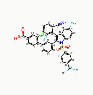 N#Cc1cccc(F)c1-c1c(-c2cccc(-c3ccc(C(=O)O)cc3Cl)c2)n(S(=O)(=O)c2ccc(C(F)F)cc2)c2ccc(F)cc12